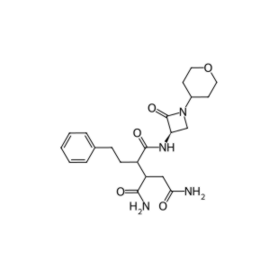 NC(=O)CC(C(N)=O)C(CCc1ccccc1)C(=O)N[C@@H]1CN(C2CCOCC2)C1=O